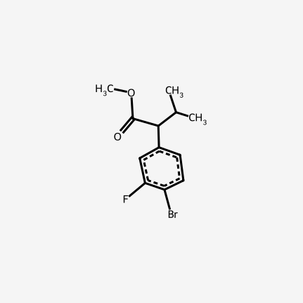 COC(=O)C(c1ccc(Br)c(F)c1)C(C)C